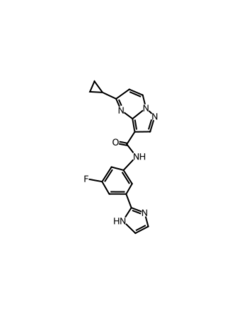 O=C(Nc1cc(F)cc(-c2ncc[nH]2)c1)c1cnn2ccc(C3CC3)nc12